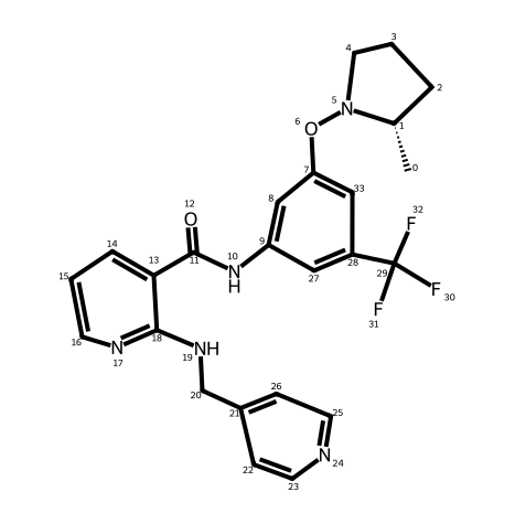 C[C@H]1CCCN1Oc1cc(NC(=O)c2cccnc2NCc2ccncc2)cc(C(F)(F)F)c1